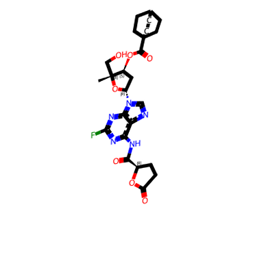 C[C@]1(CO)O[C@@H](n2cnc3c(NC(=O)[C@H]4CCC(=O)O4)nc(F)nc32)C[C@@H]1OC(=O)C12CCC(CC1)CC2